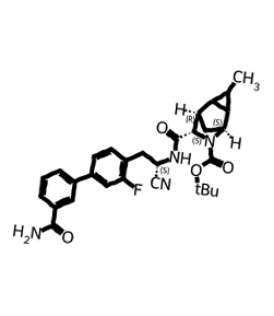 CC1C2C1[C@@H]1C[C@H]2[C@@H](C(=O)N[C@H](C#N)Cc2ccc(-c3cccc(C(N)=O)c3)cc2F)N1C(=O)OC(C)(C)C